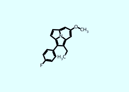 CCc1c(-c2ccc(F)cc2)c2ccc3cc(OC)cc1n32